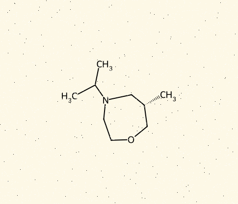 CC(C)N1CCOC[C@@H](C)C1